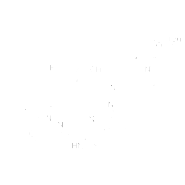 Cc1c(-c2c(Cl)c(F)cc3c2cnn3C2CCCCO2)c(N2CCNCC23CCC3)nn1C1CCN(C(=O)OC(C)(C)C)CC1